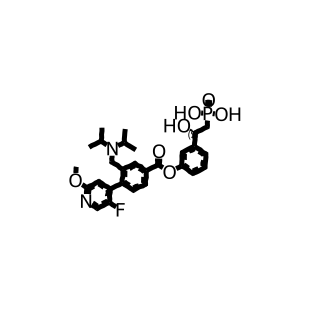 COc1cc(-c2ccc(C(=O)Oc3cccc([C@H](O)CP(=O)(O)O)c3)cc2CN(C(C)C)C(C)C)c(F)cn1